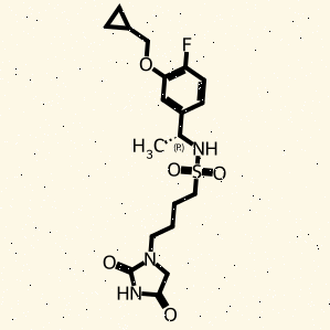 C[C@@H](NS(=O)(=O)CCCCN1CC(=O)NC1=O)c1ccc(F)c(OCC2CC2)c1